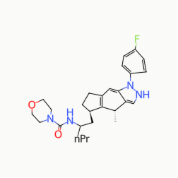 CCCC(C[C@H]1CCC2=C1[C@@H](C)C1=CNN(c3ccc(F)cc3)C1=C2)NC(=O)N1CCOCC1